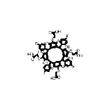 O=C(O)COc1c(O)c2cc(c1O)C(c1ccc(F)cc1)c1cc(c(O)c(OCC(=O)O)c1O)C(c1ccc(F)cc1)c1cc(c(O)c(OCC(=O)O)c1O)C(c1ccc(F)cc1)c1cc(c(O)c(OCC(=O)O)c1O)C2c1ccc(F)cc1